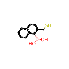 OB(O)c1c(CS)ccc2ccccc12